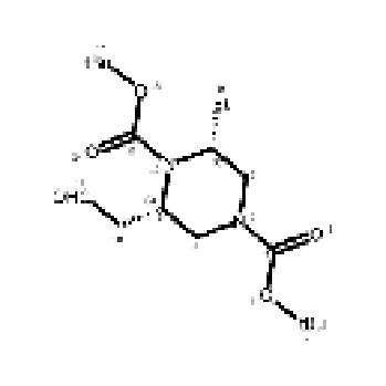 CC[C@@H]1CN(C(=O)OC(C)(C)C)C[C@H](CC=O)N1C(=O)OC(C)(C)C